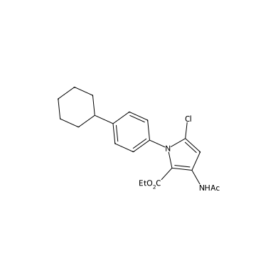 CCOC(=O)c1c(NC(C)=O)cc(Cl)n1-c1ccc(C2CCCCC2)cc1